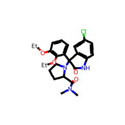 CCOc1cccc(C2(N3CCCC3C(=O)N(C)C)C(=O)Nc3ccc(Cl)cc32)c1OCC